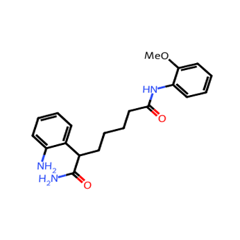 COc1ccccc1NC(=O)CCCCC(C(N)=O)c1ccccc1N